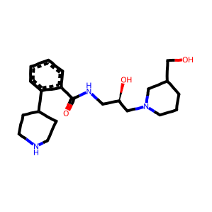 O=C(NC[C@@H](O)CN1CCCC(CO)C1)c1ccccc1C1CCNCC1